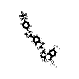 COC(C)c1ccc(C)cc1N1C(=O)CS/C1=N\C(=O)Nc1ccc(-c2ncn(-c3ccc(S(=O)(=O)C(F)(F)F)cc3)n2)cc1F